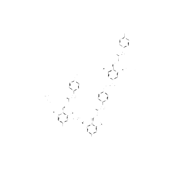 CC(C)(C)c1cc(O)cc(C(C)(C)C)c1CCC(=O)Nc1ccc(O)cc1.CC(C)(C)c1cc(O)cc(C(C)(C)C)c1CCC(=O)Nc1ccc(O)cc1.CC(C)(C)c1cc(O)cc(C(C)(C)C)c1CCC(=O)Nc1ccc(O)cc1.OP(O)O